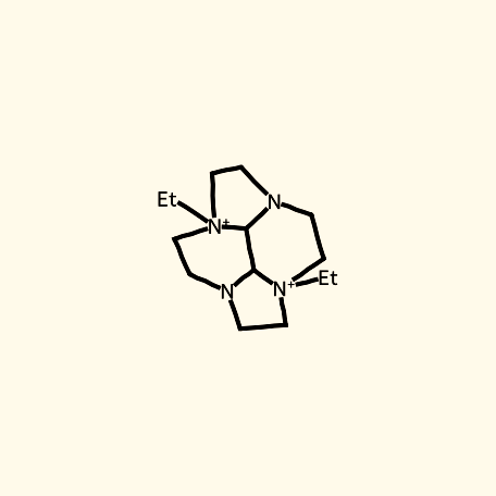 CC[N+]12CCN3CC[N+]4(CC)CCN(CC1)C4C32